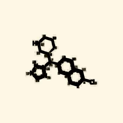 Clc1ccc2cc([C@H]([C@H]3CCCNC3)n3ncnn3)ccc2c1